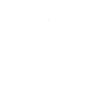 CCCCCCc1ccc2oc(C(O)COc3ccc(CCCO)cc3)cc2c1